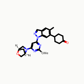 COc1nc(N2C[C@H]3C[C@@H]2CO3)cc(-n2ncc3cc(C)c(C4CCC(=O)CC4)cc32)n1